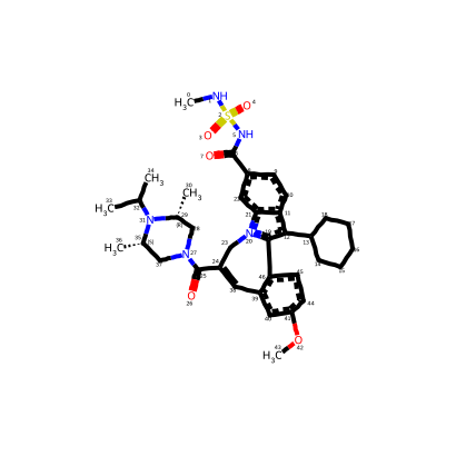 CNS(=O)(=O)NC(=O)c1ccc2c(C3CCCCC3)c3n(c2c1)CC(C(=O)N1C[C@@H](C)N(C(C)C)[C@@H](C)C1)=Cc1cc(OC)ccc1-3